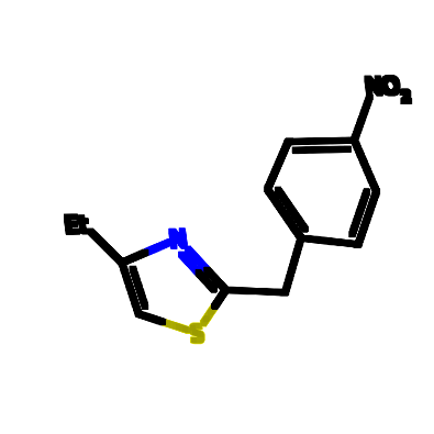 CCc1csc(Cc2ccc([N+](=O)[O-])cc2)n1